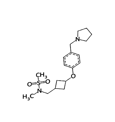 CN(CC1CC(Oc2ccc(CN3CCCC3)cc2)C1)S(C)(=O)=O